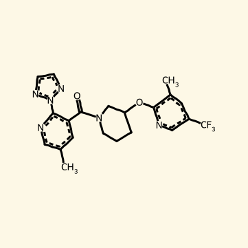 Cc1cnc(-n2nccn2)c(C(=O)N2CCCC(Oc3ncc(C(F)(F)F)cc3C)C2)c1